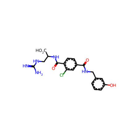 N=C(N)NCC(NC(=O)c1ccc(C(=O)NCc2cccc(O)c2)cc1Cl)C(=O)O